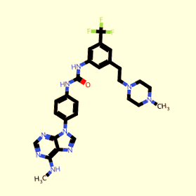 CNc1ncnc2c1ncn2-c1ccc(NC(=O)Nc2cc(CCN3CCN(C)CC3)cc(C(F)(F)F)c2)cc1